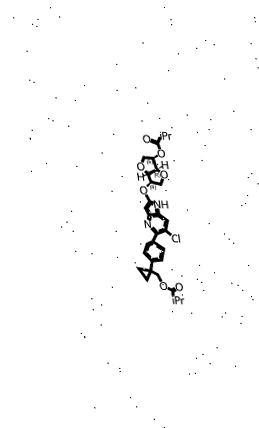 CC(C)C(=O)OCC1(c2ccc(-c3nc4cc(O[C@@H]5CO[C@H]6[C@@H]5OC[C@H]6OC(=O)C(C)C)[nH]c4cc3Cl)cc2)CC1